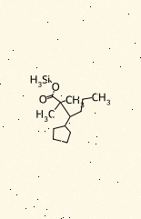 CCCC(C1CCCC1)C(C)(C)C(=O)O[SiH3]